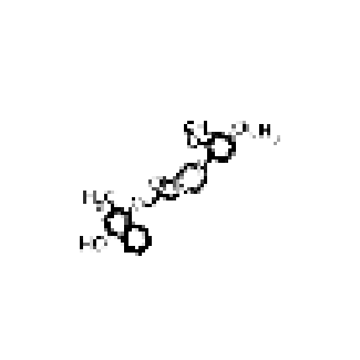 COc1ccc(N2CCN(CC(O)COc3c(C)cc(O)c4ccccc34)CC2)c(OC)c1